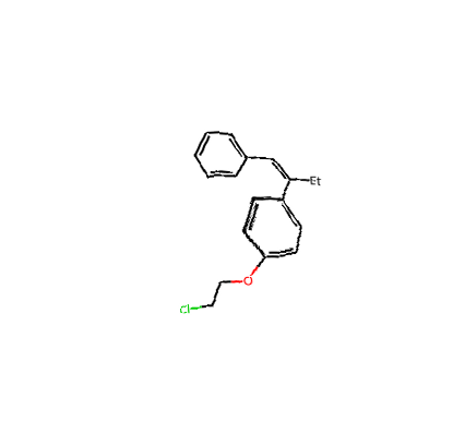 CCC(=Cc1ccccc1)c1ccc(OCCCl)cc1